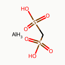 O=S(=O)(O)CS(=O)(=O)O.[AlH3]